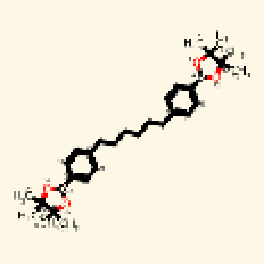 CC1(C)OB(c2ccc(CCCCCCc3ccc(B4OC(C)(C)C(C)(C)O4)cc3)cc2)OC1(C)C